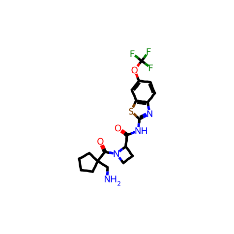 NCC1(C(=O)N2CCC2C(=O)Nc2nc3ccc(OC(F)(F)F)cc3s2)CCCC1